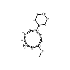 COc1ccc(C2CCOCC2)cnc[nH]c1